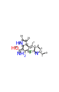 C=Cc1ccc(C(C)c2c(F)cc(C(N)O)c3[nH]c(C)c(C)c23)cn1